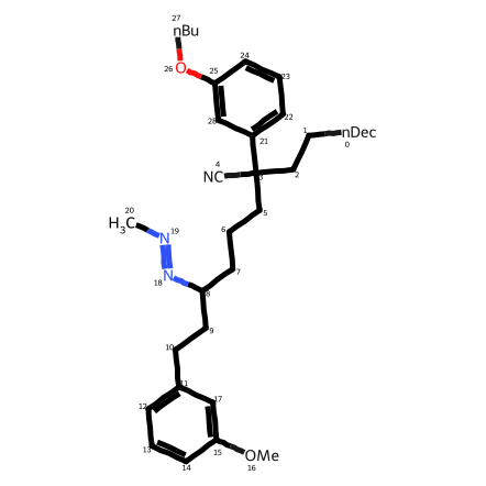 CCCCCCCCCCCCC(C#N)(CCCC(CCc1cccc(OC)c1)N=NC)c1cccc(OCCCC)c1